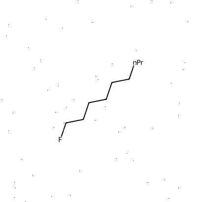 CCCCCCCC[CH]F